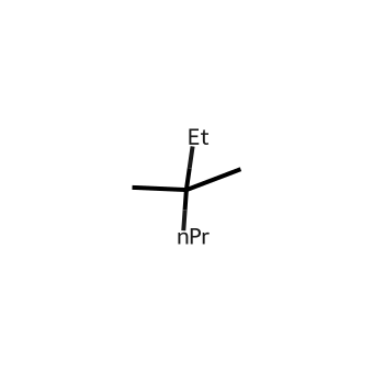 [CH2]CC(C)(C)C[CH]C